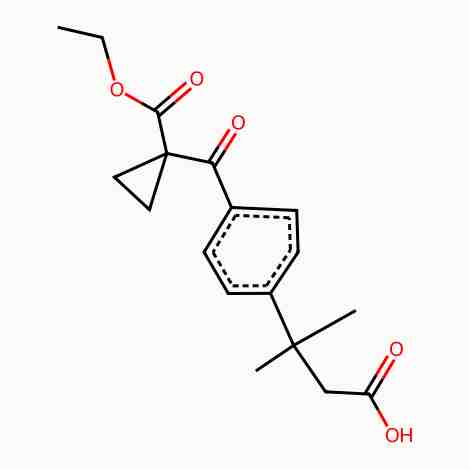 CCOC(=O)C1(C(=O)c2ccc(C(C)(C)CC(=O)O)cc2)CC1